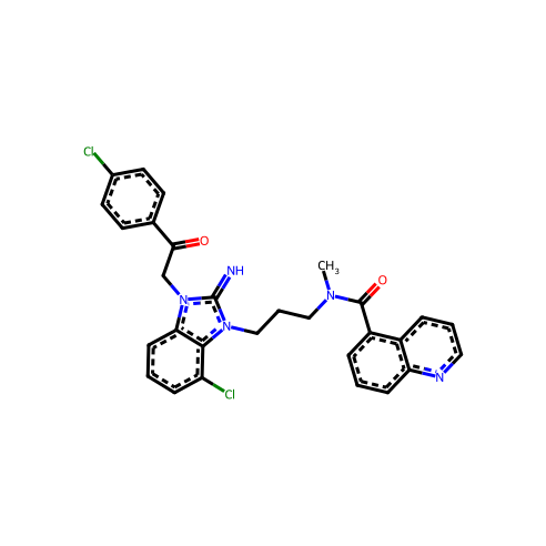 CN(CCCn1c(=N)n(CC(=O)c2ccc(Cl)cc2)c2cccc(Cl)c21)C(=O)c1cccc2ncccc12